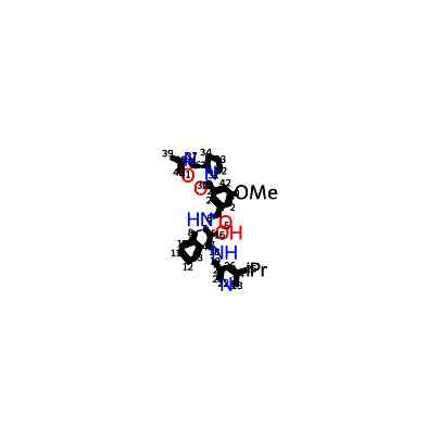 COc1cc(C(=O)N[C@@H](Cc2ccccc2)[C@@H](O)CNCc2cncc(C(C)C)c2)cc(C(=O)N2CCC[C@@H]2c2nc(C)co2)c1